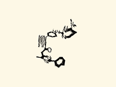 Cc1sc(-c2ccccc2)nc1CC(=O)N[C@H]1CC[C@@H](Nc2nccc(N(C)C)n2)CC1